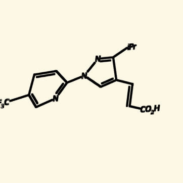 CC(C)c1nn(-c2ccc(C(F)(F)F)cn2)cc1C=CC(=O)O